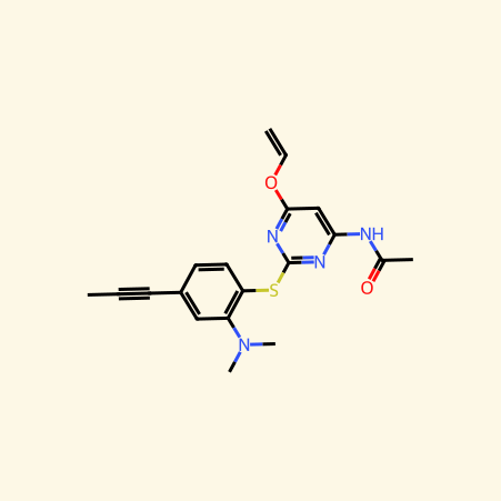 C=COc1cc(NC(C)=O)nc(Sc2ccc(C#CC)cc2N(C)C)n1